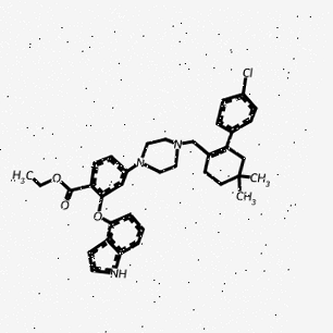 CCOC(=O)c1ccc(N2CCN(CC3=C(c4ccc(Cl)cc4)CC(C)(C)CC3)CC2)cc1Oc1cccc2[nH]ccc12